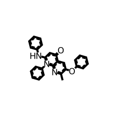 Cc1nc2c(cc1Oc1ccccc1)c(=O)cc(Nc1ccccc1)n2-c1ccccc1